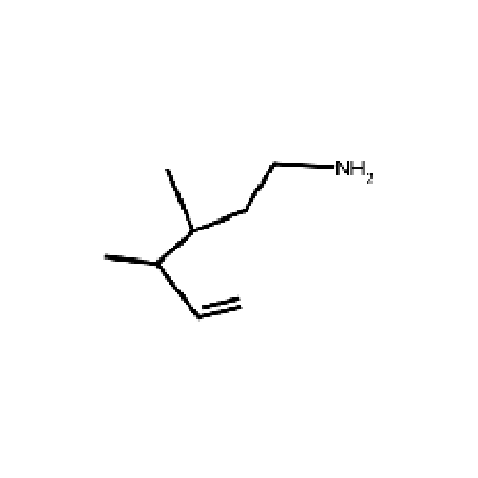 C=CC(C)C(C)CCN